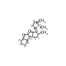 Cc1ccc2c(oc3oc4ccccc4c32)c1N1C=CN(C)[C@@H]1C